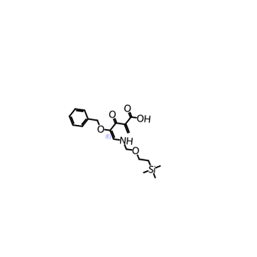 C=C(C(=O)O)C(=O)/C(=C\NCOCC[Si](C)(C)C)OCc1ccccc1